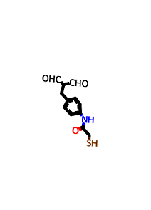 O=CC(C=O)Cc1ccc(NC(=O)CS)cc1